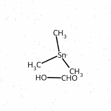 O=CO.[CH3][Sn]([CH3])[CH3]